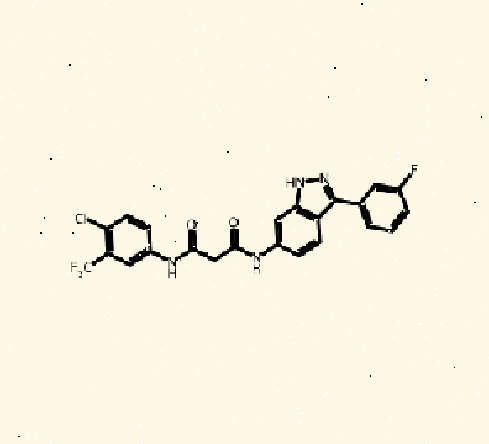 O=C(CC(=O)Nc1ccc2c(-c3cccc(F)c3)n[nH]c2c1)Nc1ccc(Cl)c(C(F)(F)F)c1